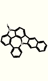 In1c2cccc3c4ccccc4n4c5cc6ccccc6cc5c5ccc1c(c32)c54